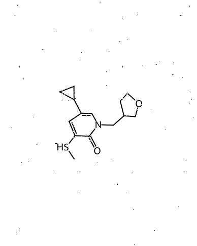 C[SH](C)c1cc(C2CC2)cn(CC2CCOC2)c1=O